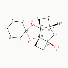 O[C@@]12CC[C@]13OC1(CCCCC1)O[C@@]31CC[C@@H]1C2